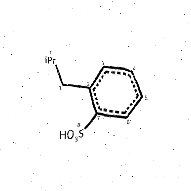 CC(C)Cc1ccccc1S(=O)(=O)O